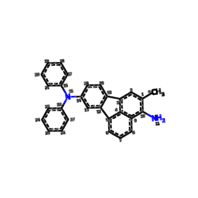 Cc1cc2c3c(cccc3c1N)-c1cc(N(c3ccccc3)c3ccccc3)ccc1-2